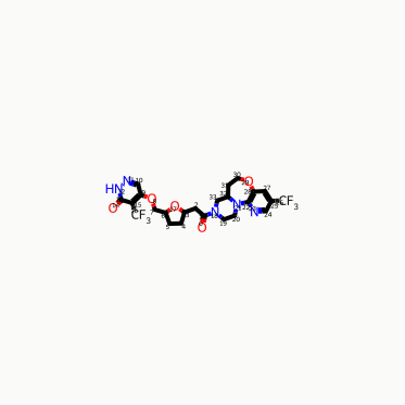 O=C(CC1CCC(COc2cn[nH]c(=O)c2C(F)(F)F)O1)N1CCN2c3ncc(C(F)(F)F)cc3OCCC2C1